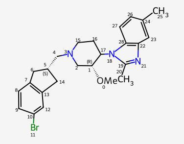 CO[C@@H]1CN(C[C@H]2Cc3ccc(Br)cc3C2)CCC1n1c(C)nc2cc(C)ccc21